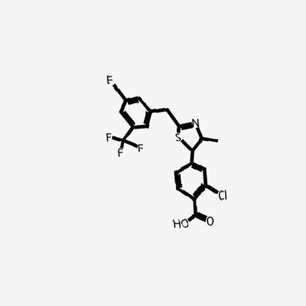 CC1N=C(Cc2cc(F)cc(C(F)(F)F)c2)SC1c1ccc(C(=O)O)c(Cl)c1